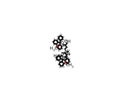 COc1ccccc1C(OCC(CO)CCn1cnc2c(=O)n(C(c3ccccc3)(c3ccccc3)c3ccccc3OC)c(N)nc21)(c1ccccc1)c1ccccc1